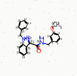 COc1cccc(CNC(=O)c2nn(Cc3ccccc3)c3ccccc23)c1